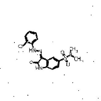 CN(C)S(=O)(=O)c1ccc2c(c1)/C(=N/Nc1ccccc1Cl)C(=O)N2